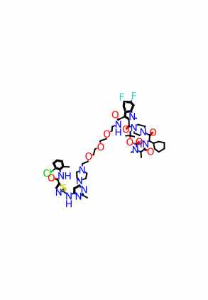 Cc1nc(Nc2ncc(C(=O)Nc3c(C)cccc3Cl)s2)cc(N2CCN(CCOCCOCCOCCNC(=O)c3c(C(=O)N4CCN(C(=O)C(NC(=O)C(C)N(C)C(=O)OC(C)(C)C)C5CCCCC5)CC4)n(C)c4cc(F)c(F)cc34)CC2)n1